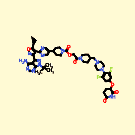 CC(C)(C)n1nc(-c2noc(C3CC3)c2-c2ncc(C3CCN(C(=O)OCC(=O)N4CCC(CN5CCN(c6c(F)cc(OC7CCC(=O)NC7=O)cc6F)CC5)CC4)CC3)cn2)c2c(N)ncnc21